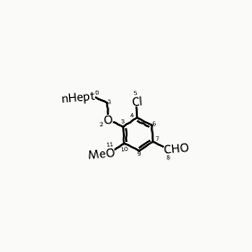 CCCCCCCCOc1c(Cl)cc(C=O)cc1OC